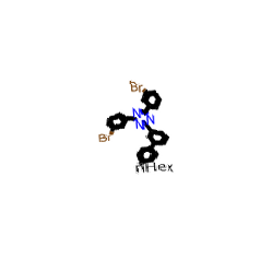 CCCCCCc1ccc(-c2cccc(-c3nc(-c4cccc(Br)c4)nc(-c4cccc(Br)c4)n3)c2)cc1